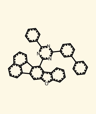 c1ccc(-c2cccc(-c3nc(-c4ccccc4)nc(-c4c5c(cc6oc7ccccc7c46)-c4cccc6cccc-5c46)n3)c2)cc1